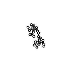 c1ccc(-c2ccc3c(c2)N(c2cccc4c2oc2ccccc24)c2cc4c(oc5cc(-c6ccc7cc8c9cccc%10c9n(c8cc7c6)B6c7ccc(N(c8ccccc8)c8ccccc8)cc7N(c7cccc8c7oc7ccccc78)c7cc8c(oc9ccccc98)c-%10c76)ccc54)c4c2B3n2c3cc5ccccc5cc3c3cccc-4c32)cc1